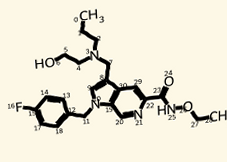 CCCN(CCO)Cc1cn(Cc2ccc(F)cc2)c2cnc(C(=O)NOCC)cc12